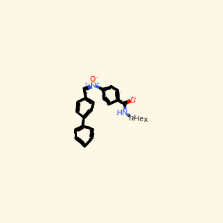 CCCCCCNC(=O)c1ccc(/[N+]([O-])=C\c2ccc(-c3ccccc3)cc2)cc1